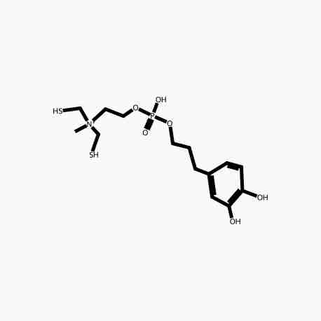 C[N+](CS)(CS)CCOP(=O)(O)OCCCc1ccc(O)c(O)c1